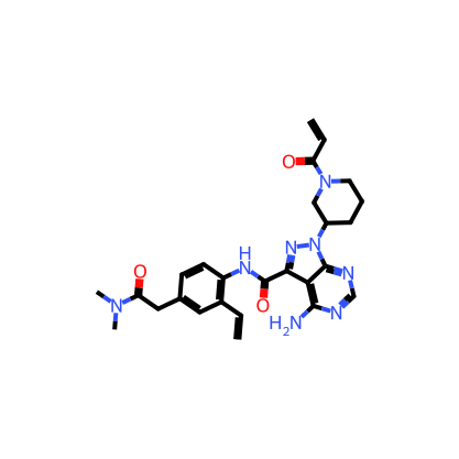 C=CC(=O)N1CCCC(n2nc(C(=O)Nc3ccc(CC(=O)N(C)C)cc3C=C)c3c(N)ncnc32)C1